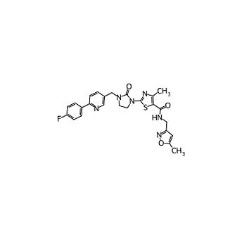 Cc1cc(CNC(=O)c2sc(N3CCN(Cc4ccc(-c5ccc(F)cc5)nc4)C3=O)nc2C)no1